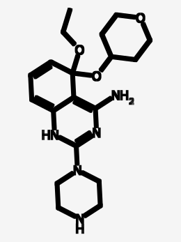 CCOC1(OC2CCOCC2)C=CC=C2NC(N3CCNCC3)=NC(N)=C21